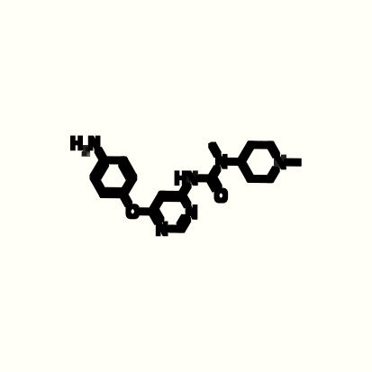 CN1CCC(N(C)C(=O)Nc2cc(Oc3ccc(N)cc3)ncn2)CC1